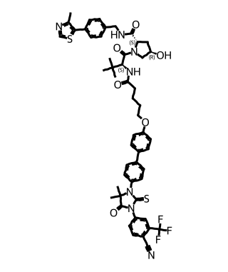 Cc1ncsc1-c1ccc(CNC(=O)[C@@H]2C[C@@H](O)CN2C(=O)[C@@H](NC(=O)CCCCOc2ccc(-c3ccc(N4C(=S)N(c5ccc(C#N)c(C(F)(F)F)c5)C(=O)C4(C)C)cc3)cc2)C(C)(C)C)cc1